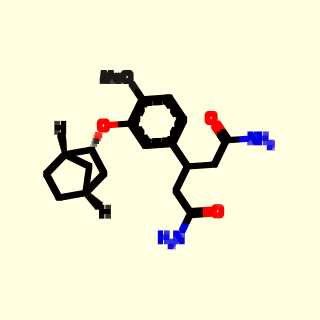 COc1ccc(C(CC(N)=O)CC(N)=O)cc1O[C@@H]1C[C@@H]2CC[C@H]1C2